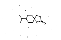 CC(C)=C1CCC2(CCC(=O)O2)CC1